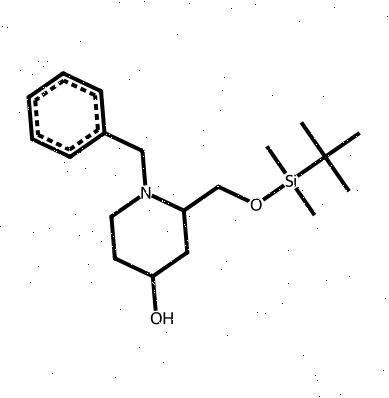 CC(C)(C)[Si](C)(C)OCC1CC(O)CCN1Cc1ccccc1